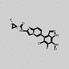 CCNc1c(F)c(Cl)c(-c2ccc3nc(NC(=O)[C@@H]4C[C@@H]4F)cn3c2)c2cn[nH]c12